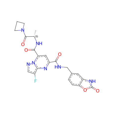 C[C@H](NC(=O)c1cc(C(=O)NCc2ccc3oc(=O)[nH]c3c2)nc2c(F)cnn12)C(=O)N1CCC1